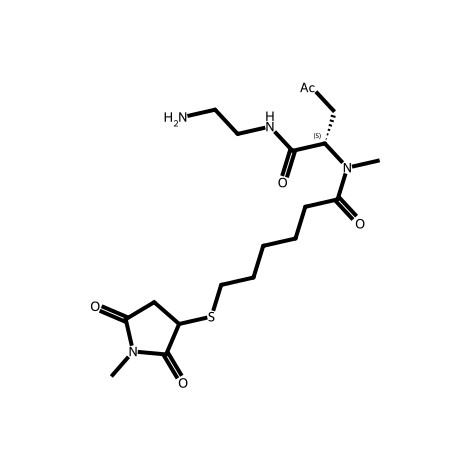 CC(=O)C[C@@H](C(=O)NCCN)N(C)C(=O)CCCCCSC1CC(=O)N(C)C1=O